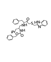 CC(C)CC(CNC(Cc1ccccc1)C(=O)CSCc1nc2ccccc2[nH]1)NC(=O)OCc1ccccc1